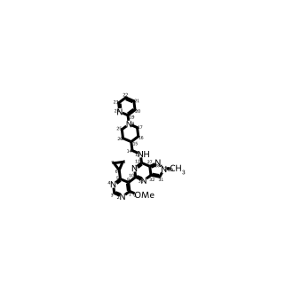 COc1ncnc(C2CC2)c1-c1nc(NCC2CCN(c3ccccn3)CC2)c2nn(C)cc2n1